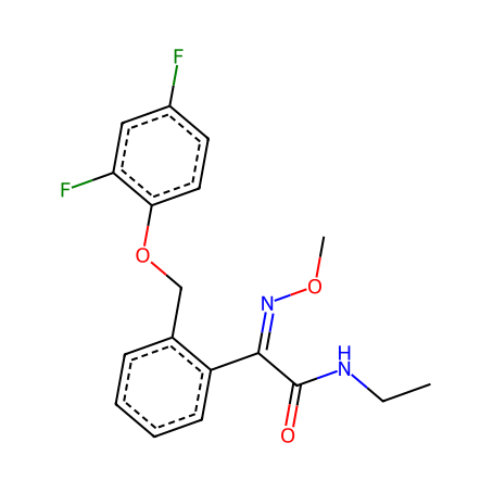 CCNC(=O)C(=NOC)c1ccccc1COc1ccc(F)cc1F